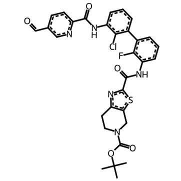 CC(C)(C)OC(=O)N1CCc2nc(C(=O)Nc3cccc(-c4cccc(NC(=O)c5ccc(C=O)cn5)c4Cl)c3F)sc2C1